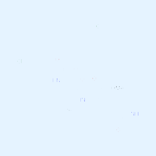 COC(=O)[C@H](C[C@@H]1CCNC1=O)NC(=O)[C@H](CC(C)C)NC(=O)OC(Cc1cccc(Cl)c1)c1cccc(Cl)c1